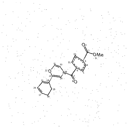 COC(=O)c1ccc(C(=O)N2C=COC(C3=CC=CCC3)=C2)cc1